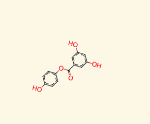 O=C(Oc1ccc(O)cc1)c1cc(O)cc(O)c1